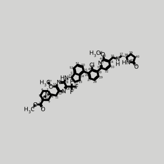 COC(=O)C12CCC(CC1)N(Cc1nc(C(F)(F)F)c(N[C@H]3CCc4c(-c5cccc(-c6ccc(CNC[C@@H]7CCC(=O)N7)c(OC)n6)c5Cl)cccc43)nc1OC)C2